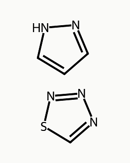 c1cn[nH]c1.c1nnns1